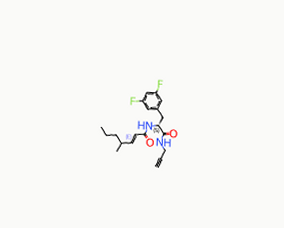 C#CCNC(=O)[C@H](Cc1cc(F)cc(F)c1)NC(=O)/C=C/C(C)CCC